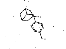 CC(C)(C)c1ccc(CN2C3CC2CN(C(C)(C)C)C3)cn1